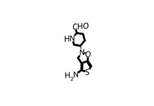 Nc1scc2c1CN([C@H]1CCC(C=O)NC1)O2